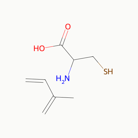 C=CC(=C)C.NC(CS)C(=O)O